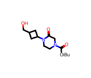 CC(C)COC(=O)N1CCN(C2CC(CO)C2)C(=O)C1